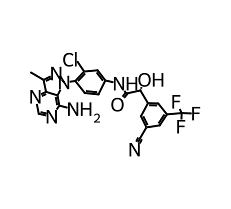 Cc1nn(-c2ccc(NC(=O)[C@H](O)c3cc(C#N)cc(C(F)(F)F)c3)cc2Cl)c2c(N)ncnc12